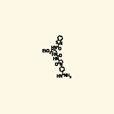 CCOC(=O)C(CNC(=O)NC1CCN(c2ccc(C(=N)N)cc2)C1=O)NC(=O)c1nc2ccccc2s1